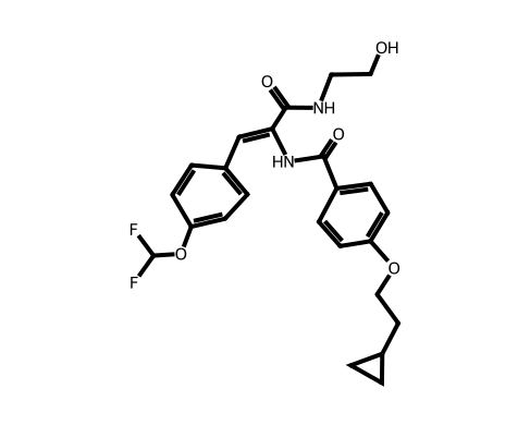 O=C(NCCO)C(=Cc1ccc(OC(F)F)cc1)NC(=O)c1ccc(OCCC2CC2)cc1